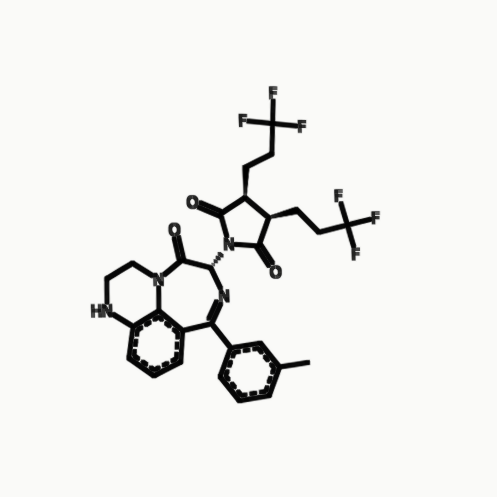 Cc1cccc(C2=N[C@@H](N3C(=O)[C@@H](CCC(F)(F)F)[C@@H](CCC(F)(F)F)C3=O)C(=O)N3CCNc4cccc2c43)c1